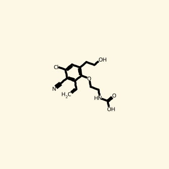 C=Cc1c(C#N)c(Cl)cc(CCO)c1OCCNC(=O)O